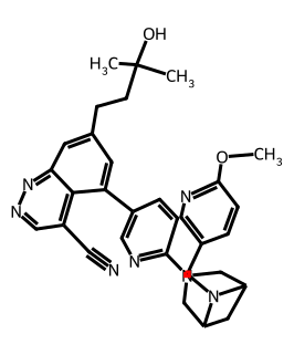 COc1ccc(CN2C3CC2CN(c2ccc(-c4cc(CCC(C)(C)O)cc5nncc(C#N)c45)cn2)C3)cn1